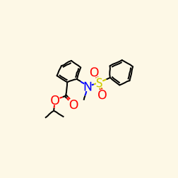 CC(C)OC(=O)c1ccccc1N(C)S(=O)(=O)c1ccccc1